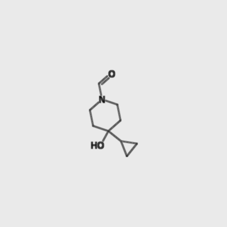 O=CN1CCC(O)(C2CC2)CC1